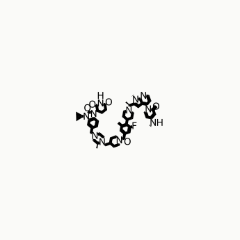 CNc1ccn(-c2ccnc3c2cc([C@H](C)N2CCC(c4c(C)cc(C(=O)N5CCC(CN6CCN(Cc7ccc8c(c7)n(C7CC7)c(=O)n8[C@@H]7CCC(=O)NC7=O)C[C@@H]6C)CC5)cc4F)CC2)n3C)c(=O)c1